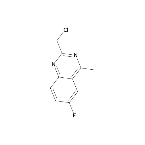 Cc1nc(CCl)nc2ccc(F)cc12